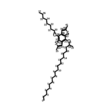 CCCCCCCCCCCCCCCCCCC(C)Oc1c2cc(C)sc2c(OCCCCCCCC)c2cc(C)sc12